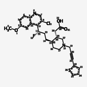 COc1ccc2ncc(Cl)c([C@@H](F)CC[C@@H]3CCN(CC#Cc4cccs4)C[C@H]3CC(=O)O)c2c1